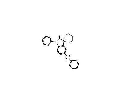 O=C1N(c2ccccc2)c2ccc(S(=O)(=O)c3ccccc3)cc2C12OCCCO2